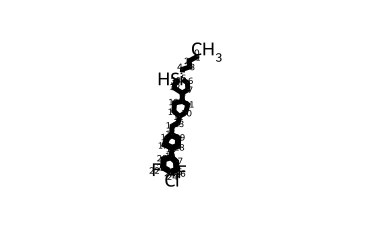 CCCCC[SiH]1CCC(C2CCC(CCc3ccc(-c4cc(F)c(Cl)c(F)c4)cc3)CC2)CC1